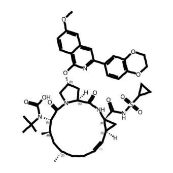 COc1ccc2c(O[C@@H]3C[C@H]4C(=O)N[C@]5(C(=O)NS(=O)(=O)C6CC6)C[C@H]5/C=C\CC[C@H](C)C[C@@H](C)[C@H](N(C(=O)O)C(C)(C)C)C(=O)N4C3)nc(-c3ccc4c(c3)OCCO4)cc2c1